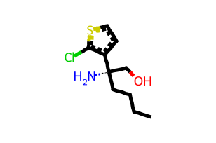 CCCC[C@](N)(CO)c1ccsc1Cl